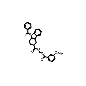 COc1cccc(C(=O)OCOC(=O)C2CCc3c(c4ccccc4n3C(=O)c3ccccc3)C2)c1